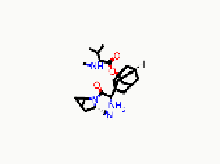 CN[C@H](C(=O)OC12CC3C[C@H](C1)CC([C@H](N)C(=O)N1C4CC4C[C@H]1C#N)(C3)C2)C(C)C